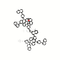 CC(C)(C)c1ccc(C2(c3ccc4ccccc4c3)c3ccccc3-c3c(N(c4ccc(-c5cccc6ccccc56)cc4)c4ccc(-c5cc(CC(C)(C)c6ccc(C7(c8cccc9ccccc89)c8ccccc8-c8c(N(c9ccc(-c%10cccc%11ccccc%10%11)cc9)c9ccc(-c%10cccc%11ccccc%10%11)cc9)cccc87)cc6)cc6ccccc56)cc4)cccc32)cc1